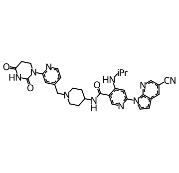 CC(C)Nc1cc(-n2ccc3cc(C#N)cnc32)ncc1C(=O)NC1CCN(Cc2ccnc(N3CCC(=O)NC3=O)c2)CC1